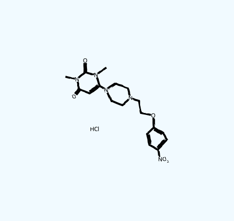 Cl.Cn1c(N2CCN(CCOc3ccc([N+](=O)[O-])cc3)CC2)cc(=O)n(C)c1=O